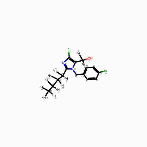 [2H]C([2H])(O)c1c(Cl)nc(C([2H])([2H])C([2H])([2H])C([2H])([2H])C([2H])([2H])[2H])n1Cc1ccc(Br)cc1